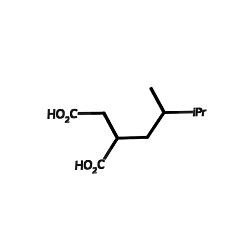 CC(C)C(C)CC(CC(=O)O)C(=O)O